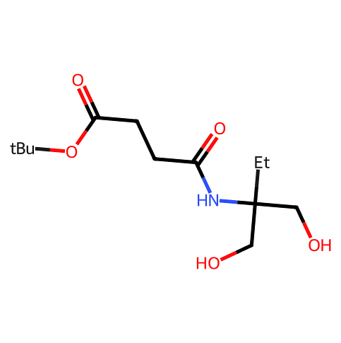 CCC(CO)(CO)NC(=O)CCC(=O)OC(C)(C)C